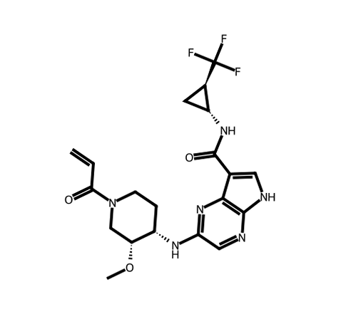 C=CC(=O)N1CC[C@H](Nc2cnc3[nH]cc(C(=O)N[C@@H]4C[C@H]4C(F)(F)F)c3n2)[C@H](OC)C1